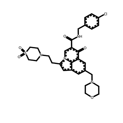 O=C(NCc1ccc(Cl)cc1)c1cn2c(CCN3CCS(=O)(=O)CC3)cc3cc(CN4CCOCC4)cc(c1=O)c32